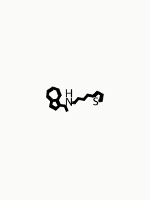 CC(NCCCCc1cccs1)c1ccc2cccccc1-2